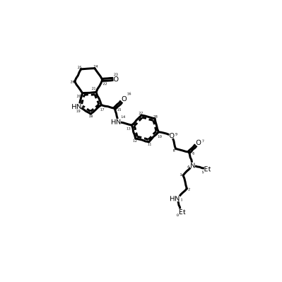 CCNCCN(CC)C(=O)COc1ccc(NC(=O)c2c[nH]c3c2C(=O)CCC3)cc1